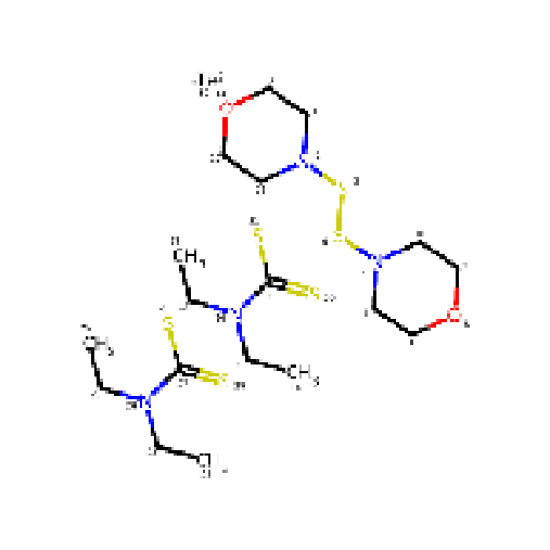 C1CN(SSN2CCOCC2)CCO1.CCN(CC)C(=S)[S-].CCN(CC)C(=S)[S-].[Te+2]